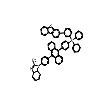 CCC1=NC2C=CC=CC2N1c1ccc(-c2c3ccccc3c(-c3ccc([Si](c4ccccc4)(c4ccccc4)c4cccc(-c5ccc6c(c5)sc5ccccc56)c4)cc3)c3ccccc23)cc1